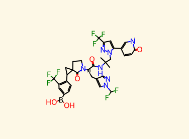 Cn1cc(-c2cc(C(F)(F)F)nn2CC(C)(C)NC(=O)[C@@H](Cc2cnn(C(F)F)c2)N2CCC3(CC3c3ccc(B(O)O)cc3C(F)(F)F)C2=O)ccc1=O